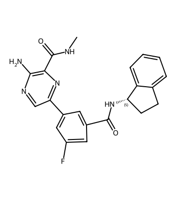 CNC(=O)c1nc(-c2cc(F)cc(C(=O)N[C@H]3CCc4ccccc43)c2)cnc1N